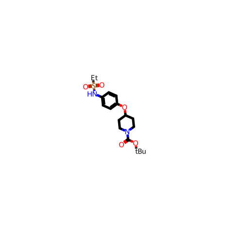 CCS(=O)(=O)Nc1ccc(OC2CCN(C(=O)OC(C)(C)C)CC2)cc1